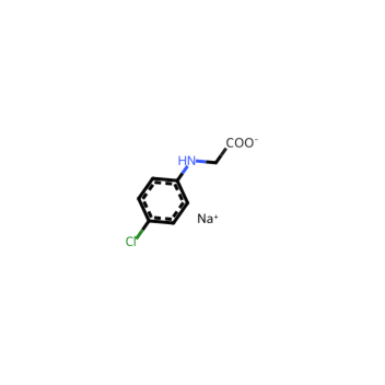 O=C([O-])CNc1ccc(Cl)cc1.[Na+]